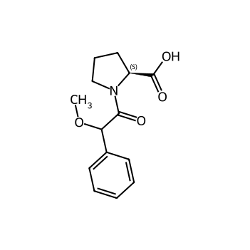 COC(C(=O)N1CCC[C@H]1C(=O)O)c1ccccc1